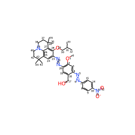 COc1cc(N=Nc2ccc([N+](=O)[O-])cc2)c(CO)cc1N=Nc1cc2c3c(c1OCC(C)C)C(C)(C)CCN3CCC2(C)C